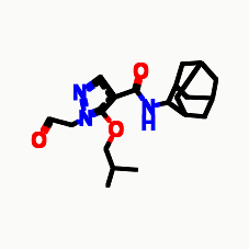 CC(C)COc1c(C(=O)NC2C3CC4CC(C3)CC2C4)cnn1CC=O